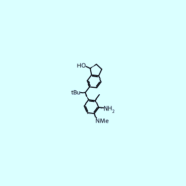 CNc1ccc(C(c2ccc3c(c2)C(O)CC3)C(C)(C)C)c(C)c1N